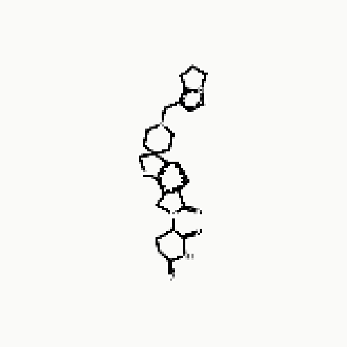 O=C1CCC(N2Cc3c(ccc4c3OCC43CCN(Cc4cnn5c4CCC5)CC3)C2=O)C(=O)N1